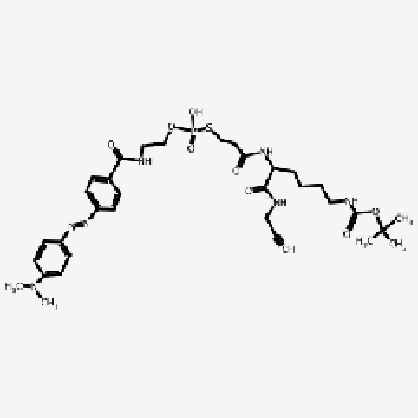 C#CCNC(=O)C(CCCCNC(=O)OC(C)(C)C)NC(=O)CCSP(=O)(O)OCCNC(=O)c1ccc(/N=N/c2ccc(N(C)C)cc2)cc1